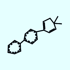 CC1(C)C=CC(c2ccc(-c3ccccc3)cc2)=CC1